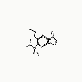 CCCc1nc2[nH]ccc2cc1N(N)C(C)C